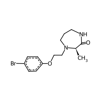 C[C@@H]1C(=O)NCCCN1CCOc1ccc(Br)cc1